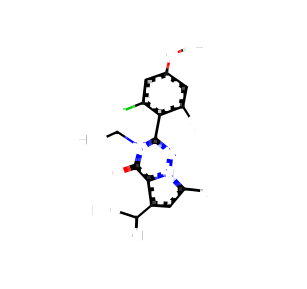 CCn1c(-c2c(C)cc(OC)cc2Cl)nn2c(C)cc(C(C)C)c2c1=O